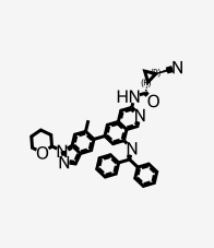 Cc1cc2c(cnn2C2CCCCO2)cc1-c1cc(N=C(c2ccccc2)c2ccccc2)c2cnc(NC(=O)[C@@H]3C[C@H]3C#N)cc2c1